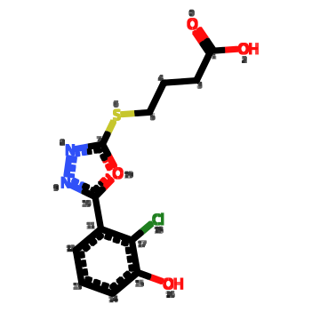 O=C(O)CCCSc1nnc(-c2cccc(O)c2Cl)o1